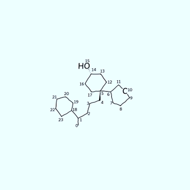 CC(CCC[C@]1(C2CCCCC2)CC[C@@H](O)CC1)C1CCCCC1